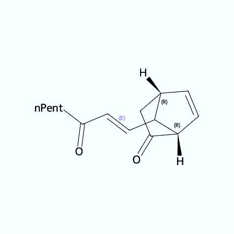 CCCCCC(=O)/C=C/C1[C@@H]2C=C[C@H]1CC2=O